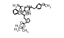 COc1ccc(CCC(=O)N[C@@H](CC(N)=O)C(=O)N[C@@H](Cc2ccccc2)[C@H](O)CN2CCC[C@H]2C(=O)OC(C)(C)C)cc1